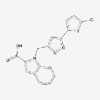 O=C(O)c1cc2ccccc2n1Cc1cc(-c2ccc(Cl)s2)on1